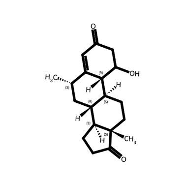 C[C@H]1C[C@@H]2[C@H](CC[C@]3(C)C(=O)CC[C@@H]23)[C@@H]2C1=CC(=O)CC2O